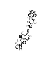 Cc1nn(C2CCC(=O)NC2=O)c2cccc(C#CCOC3CCN(C(=O)OC(C)(C)C)CC3)c12